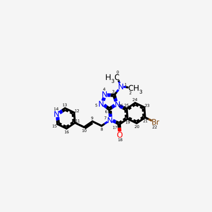 CN(C)c1nnc2n(CC=Cc3ccncc3)c(=O)c3cc(Br)ccc3n12